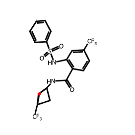 O=C(NC12CC(C(F)(F)F)(C1)C2)c1ccc(C(F)(F)F)cc1NS(=O)(=O)c1cc[c]cc1